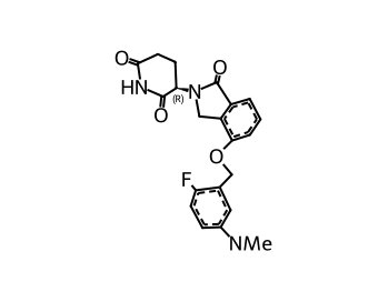 CNc1ccc(F)c(COc2cccc3c2CN([C@@H]2CCC(=O)NC2=O)C3=O)c1